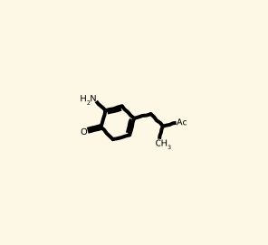 CC(=O)C(C)CC1=CCC(=O)C(N)=C1